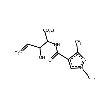 C=CC(O)C(NC(=O)c1cn(C)nc1C(F)(F)F)C(=O)OCC